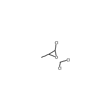 CC1OC1Cl.ClCCl